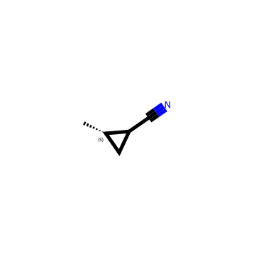 C[C@H]1CC1C#N